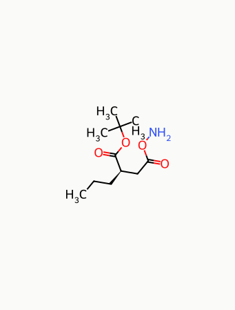 CCC[C@H](CC(=O)ON)C(=O)OC(C)(C)C